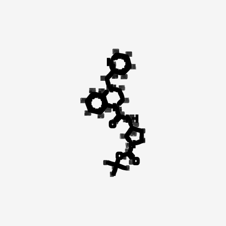 CC(C)(C)OC(=O)N1CC[C@H](NC(=O)N2CCN(Cc3ccccn3)c3ccccc32)C1